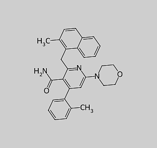 Cc1ccccc1-c1cc(N2CCOCC2)nc(Cc2c(C)ccc3ccccc23)c1C(N)=O